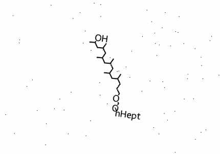 CCCCCCCOCOCCCC(C)CC(C)CC(C)CC(C)CC(C)CC(C)O